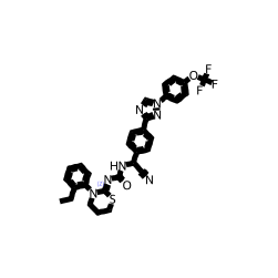 CCc1ccccc1N1CCCS/C1=N\C(=O)NC(C#N)c1ccc(-c2ncn(-c3ccc(OC(F)(F)F)cc3)n2)cc1